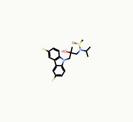 CC(C)N(CC(C)(O)Cn1c2ccc(F)cc2c2cc(F)ccc21)[S+](C)[O-]